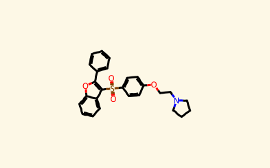 O=S(=O)(c1ccc(OCCN2CCCC2)cc1)c1c(-c2ccccc2)oc2ccccc12